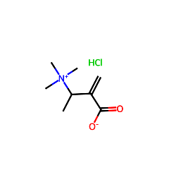 C=C(C(=O)[O-])C(C)[N+](C)(C)C.Cl